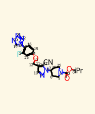 CC(C)OC(=O)N1CCC(n2ncc(COc3ccc(-n4cnnn4)c(F)c3)c2C#N)CC1